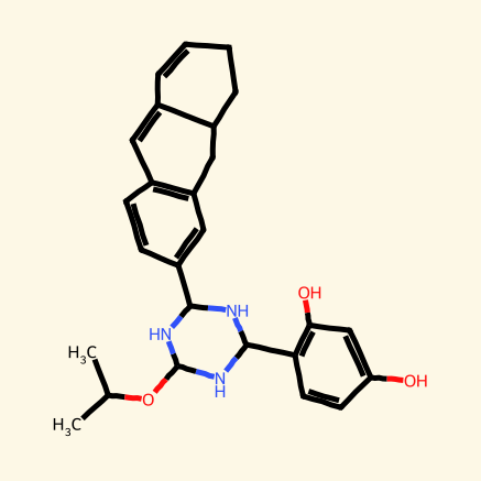 CC(C)OC1NC(c2ccc3c(c2)CC2CCC=CC2=C3)NC(c2ccc(O)cc2O)N1